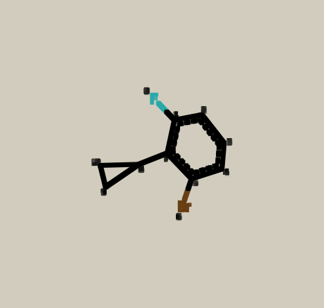 Fc1cccc(Br)c1C1CC1